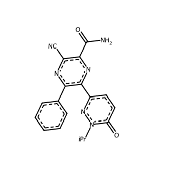 CC(C)n1nc(-c2nc(C(N)=O)c(C#N)nc2-c2ccccc2)ccc1=O